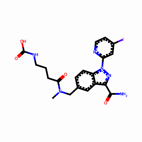 CN(Cc1ccc2c(c1)c(C(N)=O)nn2-c1cc(I)ccn1)C(=O)CCCNC(=O)O